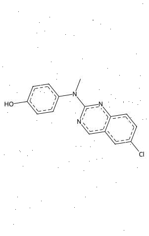 CN(c1ccc(O)cc1)c1ncc2cc(Cl)ccc2n1